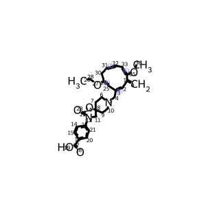 C=C1/C=C(CN2CCC3(CC2)CN(c2ccc(C(=O)O)cc2)C(=O)O3)\C=C(\OCC)C/C=C\C=C/1OC